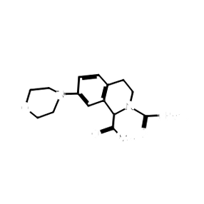 CCCCCC(=O)N1CCc2ccc(N3CCOCC3)cc2C1C(=O)OC